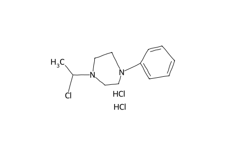 CC(Cl)N1CCN(c2ccccc2)CC1.Cl.Cl